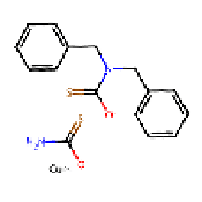 NC([O-])=S.[Cu+2].[O-]C(=S)N(Cc1ccccc1)Cc1ccccc1